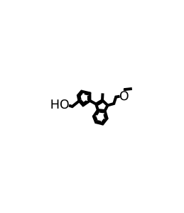 CCOCCC1C(C)=C(c2cccc(CO)c2)c2ccccc21